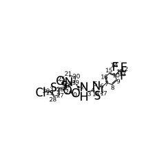 O=C(NCc1nc(-c2ccc(C(F)(F)F)cc2)cs1)[C@@H]1CCN1S(=O)(=O)c1ccc(Cl)s1